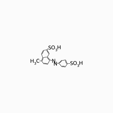 Cc1ccc(N=Nc2ccc(S(=O)(=O)O)cc2)c2cc(S(=O)(=O)O)ccc12